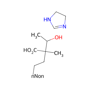 C1=NCCN1.CCCCCCCCCCCC(C)(C(=O)O)C(C)O